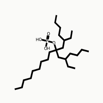 CCCCCCCCCC(CC(CC)CCCC)(CC(CC)CCCC)OP(=O)(O)O